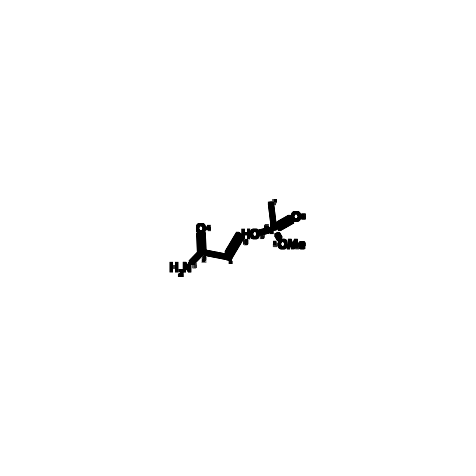 C=CC(N)=O.COP(C)(=O)O